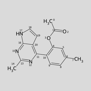 CC(=O)Oc1cc(C)ccc1-c1nc(C)nc2[nH]ccc12